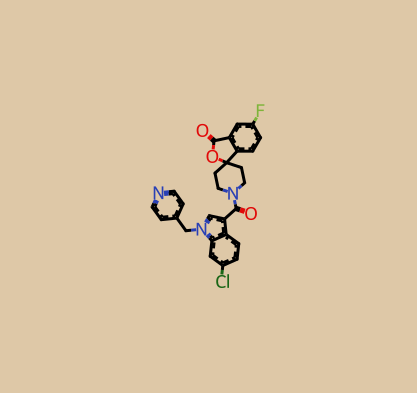 O=C1OC2(CCN(C(=O)c3cn(Cc4ccncc4)c4cc(Cl)ccc34)CC2)c2ccc(F)cc21